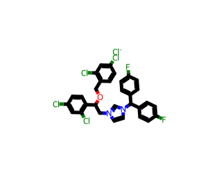 Fc1ccc(C(c2ccc(F)cc2)n2cc[n+](CC(OCc3ccc(Cl)cc3Cl)c3ccc(Cl)cc3Cl)c2)cc1.[Cl-]